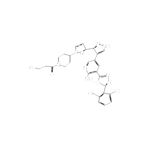 CC(C)CCC(=O)N1CCC(n2ccc(-c3n[nH]cc3-c3cnc(N)c(-c4nnc(-c5c(Cl)cccc5Cl)o4)c3)n2)CC1